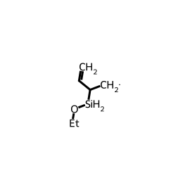 [CH2]C(C=C)[SiH2]OCC